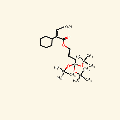 C[Si](C)(C)O[Si](CCCOC(=O)C(=CC(=O)O)C1CCCCC1)(O[Si](C)(C)C)O[Si](C)(C)C